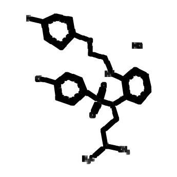 CN(C)CCN(c1ccccc1NCCOc1ccc(F)cc1)S(=O)(=O)c1ccc(Cl)cc1.Cl